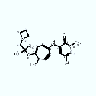 CC1C#CC(Nc2cc(Cl)nn(C)c2=O)=CC=C1OC(C)(C)CN1CCC1